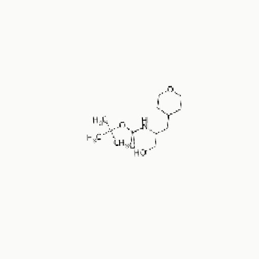 CC(C)(C)OC(=O)NC(CO)CC1CCOCC1